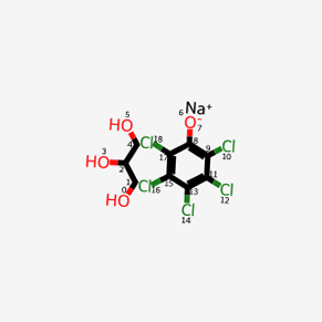 OCC(O)CO.[Na+].[O-]c1c(Cl)c(Cl)c(Cl)c(Cl)c1Cl